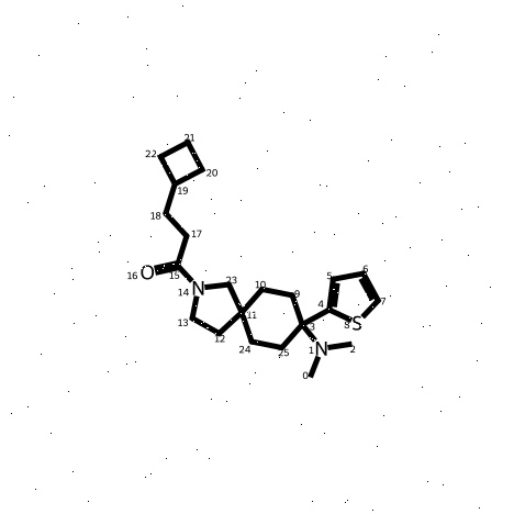 CN(C)C1(c2cccs2)CCC2(CCN(C(=O)CCC3CCC3)C2)CC1